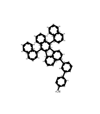 N#Cc1ccc(-c2cccc(-c3ccc4c5c(cccc35)-c3c-4c(-c4cccc5ccccc45)c4ccccc4c3-c3cccc4ccccc34)c2)cc1